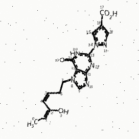 C/C=C(O)\C=C/CCn1cnc2nc(-n3cc(C(=O)O)cn3)[nH]c(=O)c21